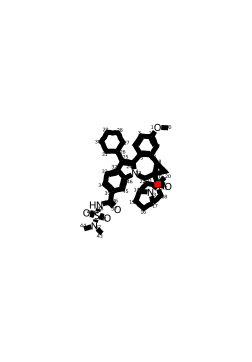 COc1ccc2c(c1)C1CC1(C(=O)N1C3CCC1CN(C)C3)Cn1c-2c(C2CCCCC2)c2ccc(C(=O)NS(=O)(=O)N(C)C)cc21